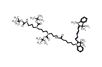 CN1/C(=C/C=C/C=C/C2=[N+](CCCCCC(=O)NCCCN(CCCCN(CCCNC(=O)OC(C)(C)C)C(=O)OC(C)(C)C)C(=O)OC(C)(C)C)c3ccccc3C2(C)C)C(C)(C)c2ccccc21